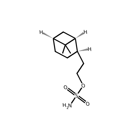 CC1(C)[C@H]2CC[C@H](CCOS(N)(=O)=O)[C@@H]1C2